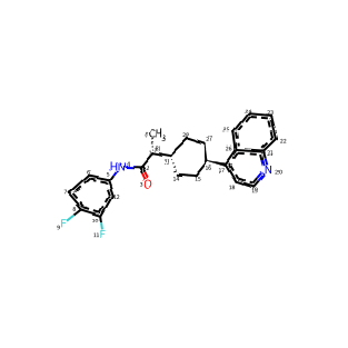 C[C@@H](C(=O)Nc1ccc(F)c(F)c1)[C@H]1CC[C@H](c2ccnc3ccccc32)CC1